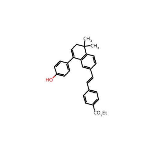 CCOC(=O)c1ccc(C=Cc2ccc3c(c2)C(c2ccc(O)cc2)=CCC3(C)C)cc1